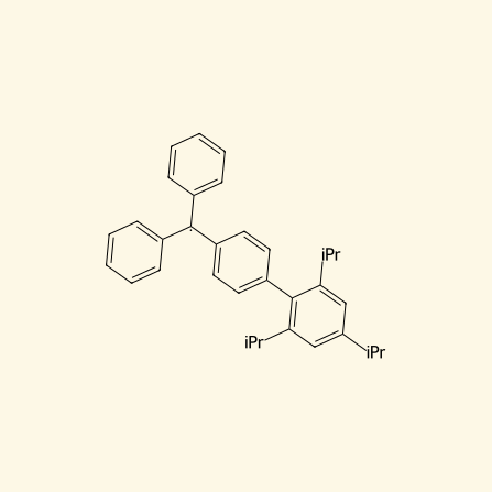 CC(C)c1cc(C(C)C)c(-c2ccc([C](c3ccccc3)c3ccccc3)cc2)c(C(C)C)c1